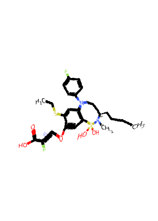 CCCC[C@@H]1CN(c2ccc(F)cc2)c2cc(SCC)c(O/C=C(\F)C(=O)O)cc2S(O)(O)N1C